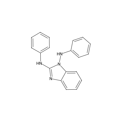 c1ccc(Nc2nc3ccccc3n2Nc2ccccc2)cc1